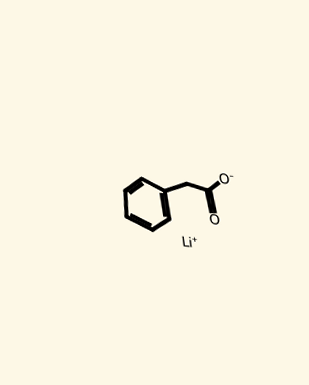 O=C([O-])Cc1ccccc1.[Li+]